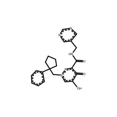 O=C(NCc1cncnc1)c1nn(CC2(c3ccccc3)CCCC2)cc(O)c1=O